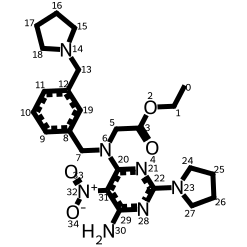 CCOC(=O)CN(Cc1cccc(CN2CCCC2)c1)c1nc(N2CCCC2)nc(N)c1[N+](=O)[O-]